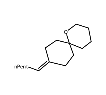 CCCCCC=C1CCC2(CCCCO2)CC1